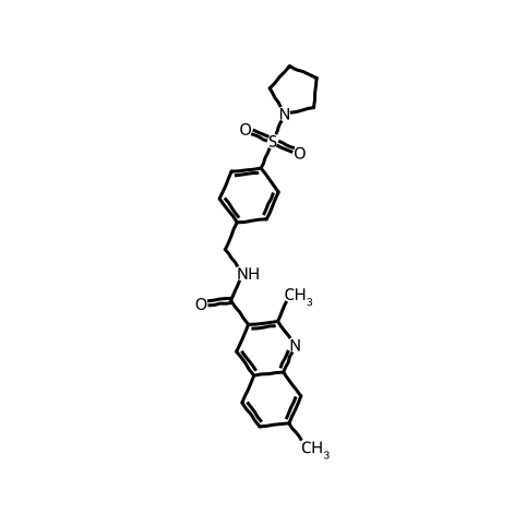 Cc1ccc2cc(C(=O)NCc3ccc(S(=O)(=O)N4CCCC4)cc3)c(C)nc2c1